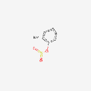 O=[S-](=O)Oc1ccccc1.[Na+]